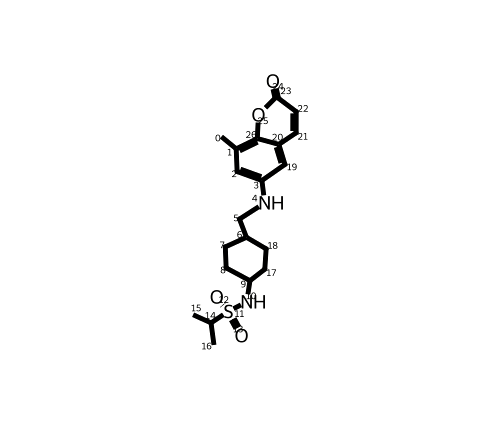 Cc1cc(NCC2CCC(NS(=O)(=O)C(C)C)CC2)cc2ccc(=O)oc12